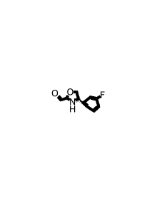 O=CC1N[C@H](c2cccc(F)c2)CO1